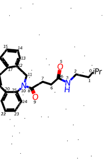 CC(C)CCNC(=O)CCC(=O)N1Cc2ccccc2C#Cc2ccccc21